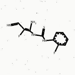 N=C/C(F)=C(\N)NC(=S)Nc1ccccc1F